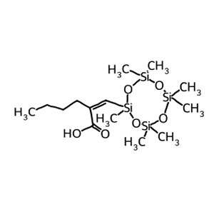 CCCCC(=C[Si]1(C)O[Si](C)(C)O[Si](C)(C)O[Si](C)(C)O1)C(=O)O